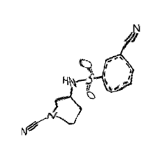 N#Cc1cccc(S(=O)(=O)NC2CCN(C#N)C2)c1